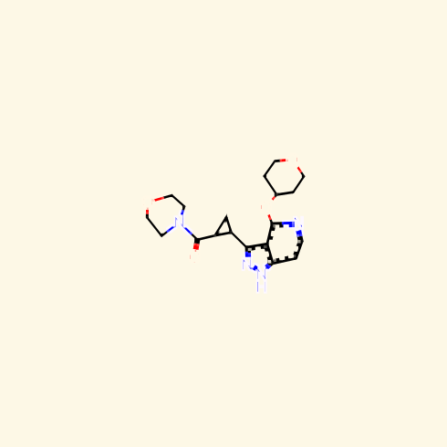 O=C(C1CC1c1n[nH]c2ccnc(OC3CCOCC3)c12)N1CCOCC1